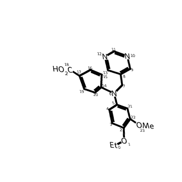 CCOc1ccc(N(Cc2cncnc2)c2ccc(C(=O)O)cc2)cc1OC